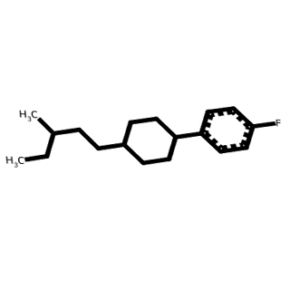 CCC(C)CCC1CCC(c2ccc(F)cc2)CC1